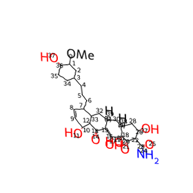 COC1CC(CCCC2C=CC(O)C3C(=O)C4=C(O)[C@]5(O)C(=O)C(C(N)=O)C(O)C[C@@H]5C[C@@H]4CC23)CCC1O